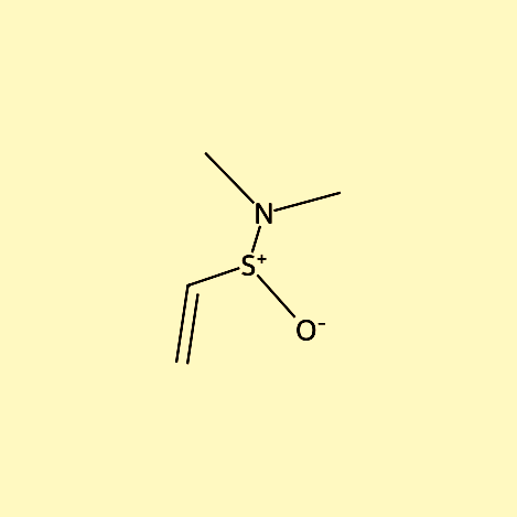 C=C[S+]([O-])N(C)C